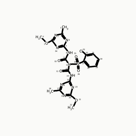 COc1nc(C)nc(NC(=O)N(C(=O)Nc2nc(C)nc(OC)n2)S(=O)(=O)c2ccccc2Cl)n1